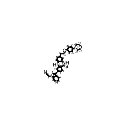 N#CCn1cc(-c2ccc3c(c2)Nc2ccc(CCOc4ccc(N5CCOCC5)cc4)cc2NC3=O)c2ccncc21